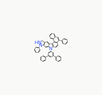 c1ccc(-c2cc(-c3ccccc3)cc(-n3c4cc5c(cc4c4c6c(ccc43)c(-c3ccccc3)cc3ccccc36)CNN5c3ccccc3)c2)cc1